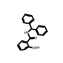 COc1ccccc1C(=O)NC(c1ccccc1)c1ccccc1